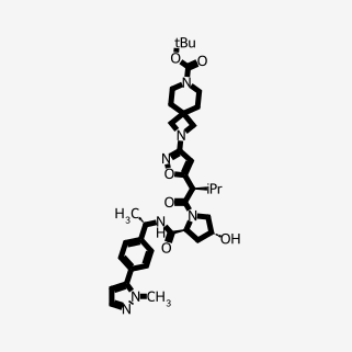 CC(C)[C@@H](C(=O)N1C[C@H](O)C[C@H]1C(=O)N[C@@H](C)c1ccc(-c2ccnn2C)cc1)c1cc(N2CC3(CCN(C(=O)OC(C)(C)C)CC3)C2)no1